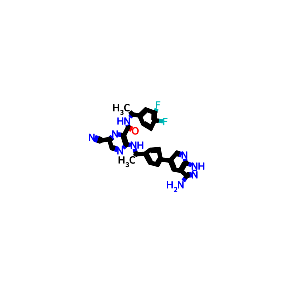 CC(NC(=O)c1nc(C#N)cnc1NC(C)c1ccc(-c2cnc3[nH]nc(N)c3c2)cc1)c1ccc(F)c(F)c1